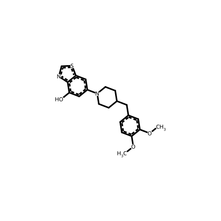 COc1ccc(CC2CCN(c3cc(O)c4ncsc4c3)CC2)cc1OC